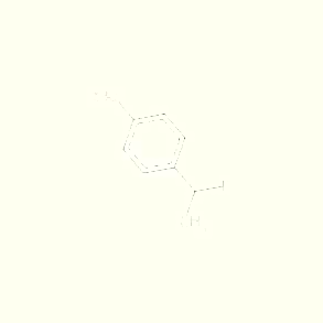 CC(F)c1ccc(C(C)(C)C)cc1